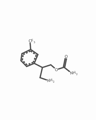 NCC(COC(N)=O)c1cccc(C(F)(F)F)c1